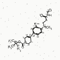 CN(CCC(=O)NC=O)c1ccc(C2=CCN(C(=O)OC(C)(C)C)CC2)cc1F